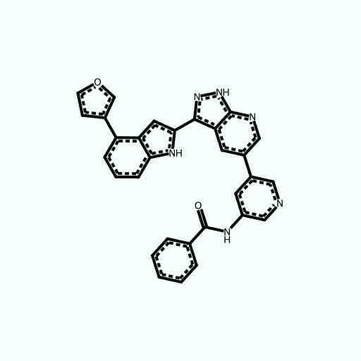 O=C(Nc1cncc(-c2cnc3[nH]nc(-c4cc5c(-c6ccoc6)cccc5[nH]4)c3c2)c1)c1ccccc1